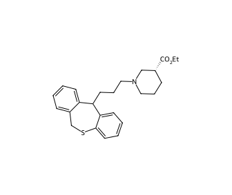 CCOC(=O)[C@@H]1CCCN(CCCC2c3ccccc3CSc3ccccc32)C1